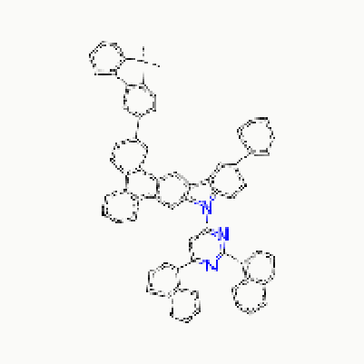 CC1(C)c2ccccc2-c2cc(-c3ccc4c5ccccc5c5cc6c(cc5c4c3)c3cc(-c4ccccc4)ccc3n6-c3cc(-c4cccc5ccccc45)nc(-c4cccc5ccccc45)n3)ccc21